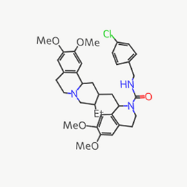 CCC1CN2CCc3cc(OC)c(OC)cc3C2CC1CC1c2cc(OC)c(OC)cc2CCN1C(=O)NCc1ccc(Cl)cc1